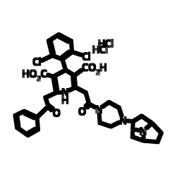 CN1C2CCC1CC(N1CCN(C(=O)CC3=C(C(=O)O)C(c4c(Cl)cccc4Cl)C(C(=O)O)=C(CC(=O)c4ccccc4)N3)CC1)C2.Cl.Cl